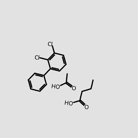 CC(=O)O.CCCC(=O)O.Clc1cccc(-c2ccccc2)c1Cl